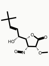 CO[C@H]1C(=O)O[C@@H]([C@H](O)/C=C/C(C)(C)C)[C@H]1N=O